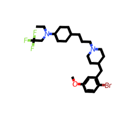 CCN(CC(F)(F)F)C1CCC(CCCN2CCC(Cc3cc(OC)ccc3Br)CC2)CC1